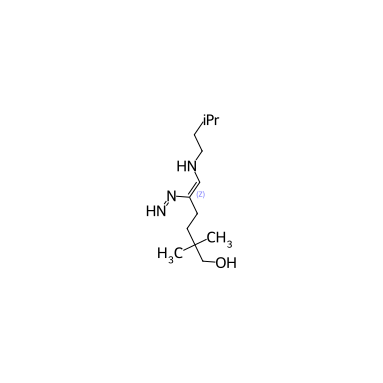 CC(C)CCN/C=C(/CCC(C)(C)CO)N=N